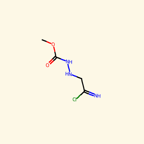 COC(=O)NNCC(=N)Cl